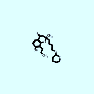 CCCc1c(O)ccc2c1OC(C)(CCCCOC1CCCCO1)CC2=O